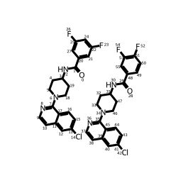 O=C(NC1CCN(c2nccc3cc(Cl)ccc23)CC1)c1cc(F)cc(F)c1.O=C(NC1CCN(c2nccc3cc(Cl)ccc23)CC1)c1ccc(F)c(F)c1